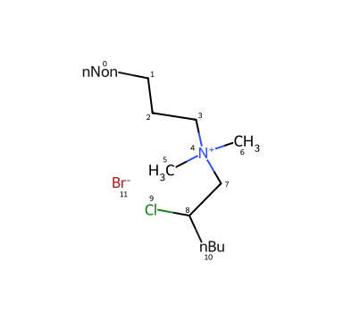 CCCCCCCCCCCC[N+](C)(C)CC(Cl)CCCC.[Br-]